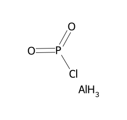 O=P(=O)Cl.[AlH3]